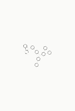 c1ccc(-c2ccc(N(c3ccc(-c4cccc(-n5c6ccccc6c6ncncc65)c4)cc3)c3ccc(-c4ccccc4)c(-c4ccccc4)c3)cc2)cc1